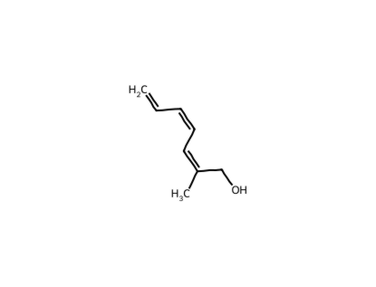 C=C/C=C\C=C(\C)CO